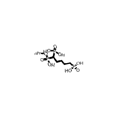 CCCOP(=O)(O)C(CCCCP(=O)(O)O)P(=O)(O)O